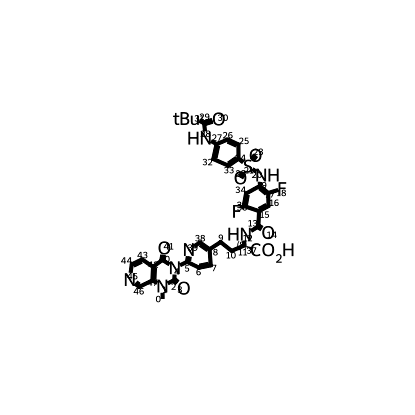 Cn1c(=O)n(-c2ccc(CC[C@H](NC(=O)c3cc(F)c(NS(=O)(=O)c4ccc(NC(=O)C(C)(C)C)cc4)cc3F)C(=O)O)cn2)c(=O)c2ccncc21